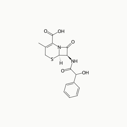 CC1=C(C(=O)O)N2C(=O)[C@@H](NC(=O)C(O)c3ccccc3)[C@H]2SC1